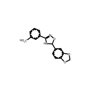 O=C(O)c1cccc(C2=NOC(c3ccc4c(c3)OCO4)N2)c1